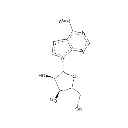 COc1ncnc2c1ccn2[C@@H]1OC(CO)[C@@H](O)[C@H]1O